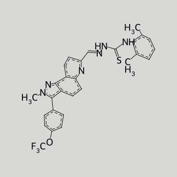 Cc1cccc(C)c1NC(=S)NN=Cc1ccc2c(ccc3c(-c4ccc(OC(F)(F)F)cc4)n(C)nc32)n1